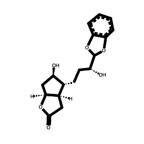 O=C1C[C@@H]2[C@@H](CC[C@@H](O)C3Oc4ccccc4O3)[C@H](O)C[C@@H]2O1